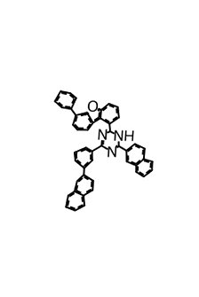 c1ccc(-c2cccc3c2oc2cccc(C4N=C(c5cccc(-c6ccc7ccccc7c6)c5)N=C(c5ccc6ccccc6c5)N4)c23)cc1